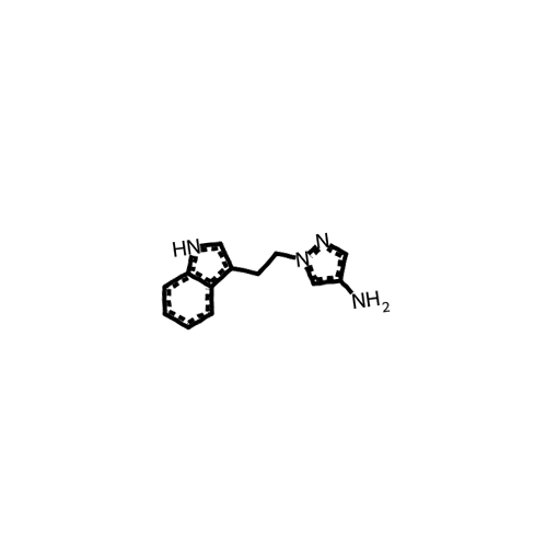 Nc1cnn(CCc2c[nH]c3ccccc23)c1